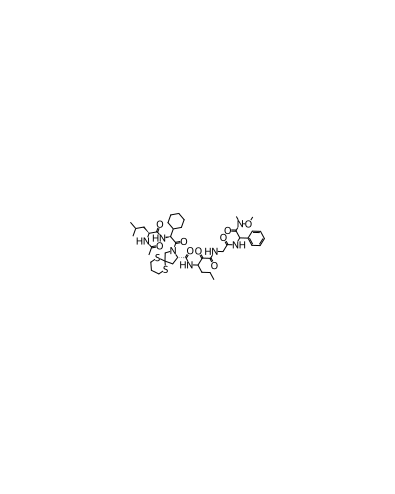 CCCC(NC(=O)[C@@H]1CC2(CN1C(=O)[C@@H](NC(=O)[C@H](CC(C)C)NC(C)=O)C1CCCCC1)SCCCS2)C(=O)C(=O)NCC(=O)NC(C(=O)N(C)OC)c1ccccc1